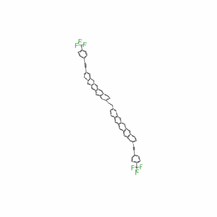 FC(F)(F)c1ccc(C#Cc2ccc3cc4cc5cc6cc(/C=C/c7ccc8cc9cc%10cc%11cc(C#Cc%12ccc(C(F)(F)F)cc%12)ccc%11cc%10cc9cc8c7)ccc6cc5cc4cc3c2)cc1